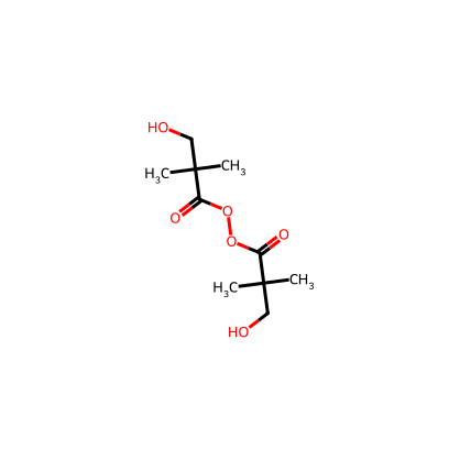 CC(C)(CO)C(=O)OOC(=O)C(C)(C)CO